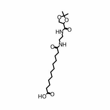 CC1(C)OCC(C(=O)NCCNC(=O)CCCCCCCCCCC(=O)O)O1